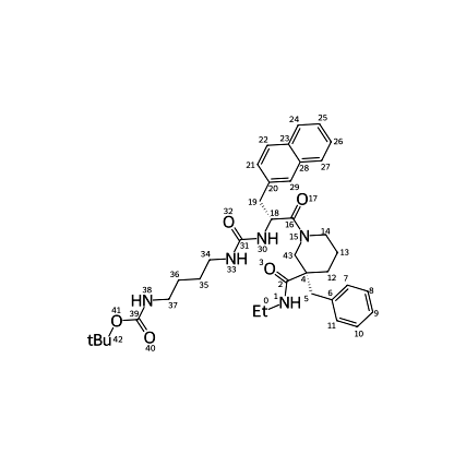 CCNC(=O)[C@]1(Cc2ccccc2)CCCN(C(=O)[C@@H](Cc2ccc3ccccc3c2)NC(=O)NCCCCNC(=O)OC(C)(C)C)C1